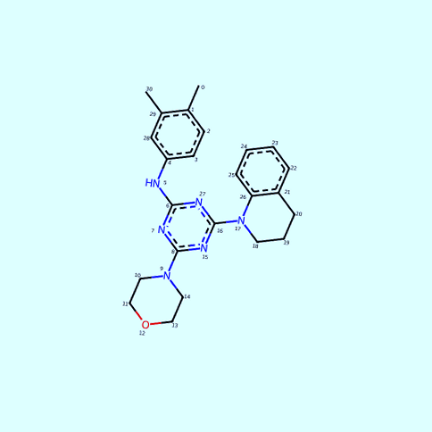 Cc1ccc(Nc2nc(N3CCOCC3)nc(N3CCCc4ccccc43)n2)cc1C